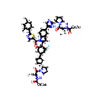 COC(=O)N[C@H](C(=O)N1CCC[C@H]1C1=CC=C(c2cc(F)c3c(c2)OC(c2cnc(-c4ccc(C)cc4C)s2)n2c-3cc3cc(-c4cnc([C@@H]5CCCN5C(=O)[C@@H](NC(=O)OC)C(C)C)[nH]4)ccc32)C1)C(C)C